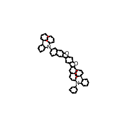 c1ccc(-c2ccccc2N(c2ccccc2)c2ccc3cc4c(cc3c2)oc2cc3oc5cc6cc(N(c7ccccc7)c7ccccc7-c7ccccc7)ccc6cc5c3cc24)cc1